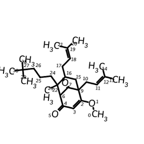 COC1=CC(=O)C2C(=O)C1(CC=C(C)C)CC(CC=C(C)C)C2(C)CCCC(C)(C)C